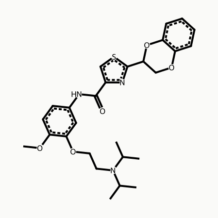 COc1ccc(NC(=O)c2csc(C3COc4ccccc4O3)n2)cc1OCCN(C(C)C)C(C)C